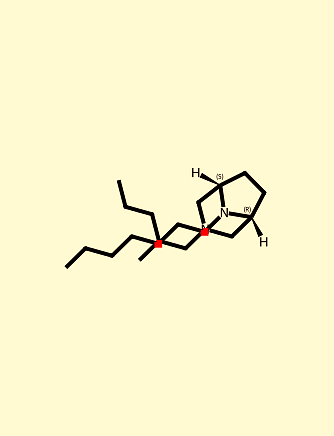 CCCCCCCN1[C@@H]2CC[C@H]1CN(CC(C)CCC)C2